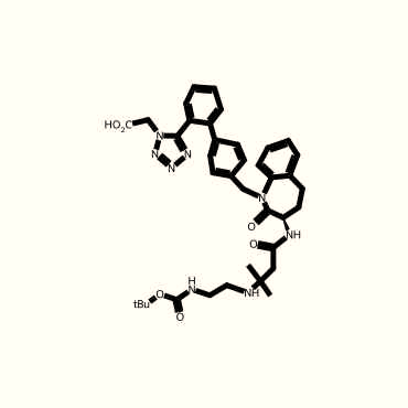 CC(C)(CC(=O)N[C@@H]1CCc2ccccc2N(Cc2ccc(-c3ccccc3-c3nnnn3CC(=O)O)cc2)C1=O)NCCNC(=O)OC(C)(C)C